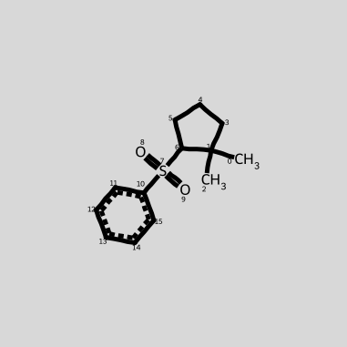 CC1(C)CCCC1S(=O)(=O)c1ccccc1